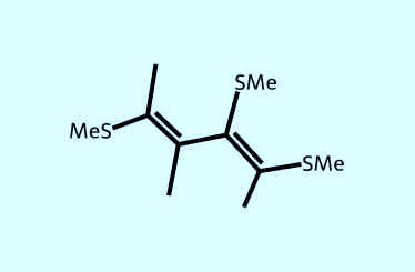 CS/C(C)=C(SC)/C(C)=C(\C)SC